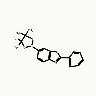 CC1(C)OB(c2ccc3nc(-c4ccccc4)oc3c2)OC1(C)C